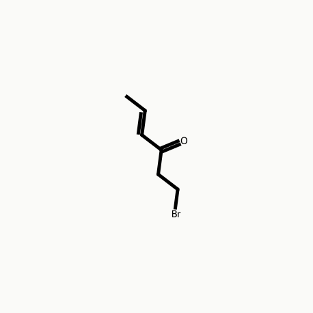 CC=CC(=O)CCBr